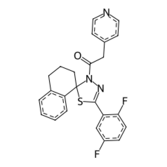 O=C(Cc1ccncc1)N1N=C(c2cc(F)ccc2F)SC12CCCc1ccccc12